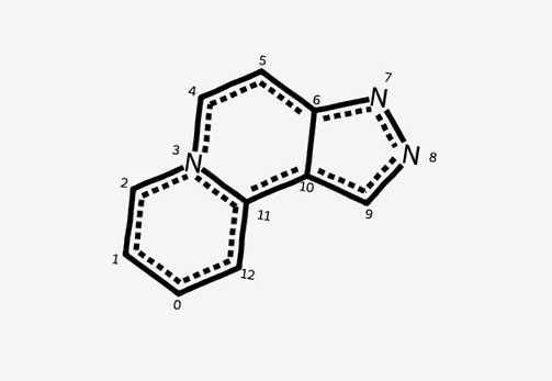 c1ccn2ccc3nncc-3c2c1